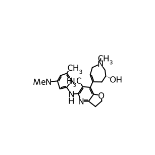 CNc1cc(C)nc(Nc2nc3c(c(C4=CCN(C)C[C@H](O)C4)c2C)OCC3)c1